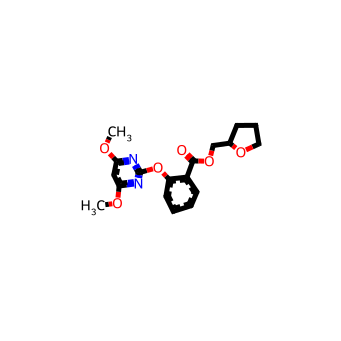 COc1cc(OC)nc(Oc2ccccc2C(=O)OCC2CCCO2)n1